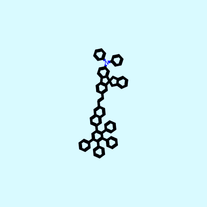 C(=C\c1ccc2cc(-c3cc(-c4ccccc4)c(-c4ccccc4)c(-c4ccccc4)c3-c3ccccc3)ccc2c1)/c1ccc2c(c1)C1(Cc3ccccc3C1)c1cc(N(c3ccccc3)c3ccccc3)ccc1-2